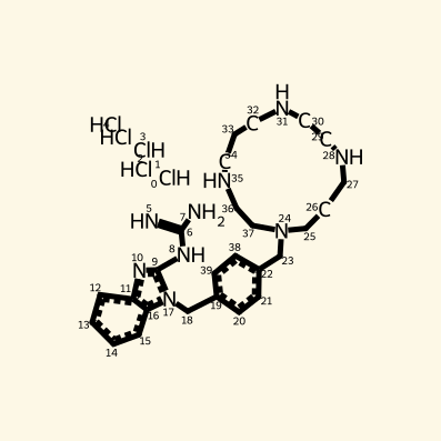 Cl.Cl.Cl.Cl.Cl.N=C(N)Nc1nc2ccccc2n1Cc1ccc(CN2CCCNCCNCCCNCC2)cc1